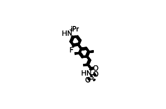 C/C(=C\c1cc(C)c(-c2ccc(NC(C)C)cc2F)cc1C)C(=O)NS(C)(=O)=O